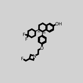 Oc1ccc2c(c1)CC[C@H](C1CCC(F)(F)CC1)[C@@H]2c1ccc(OCCN2CC(CF)C2)cc1